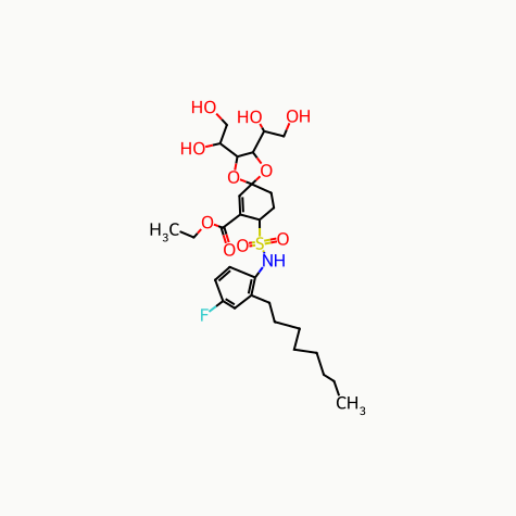 CCCCCCCCc1cc(F)ccc1NS(=O)(=O)C1CCC2(C=C1C(=O)OCC)OC(C(O)CO)C(C(O)CO)O2